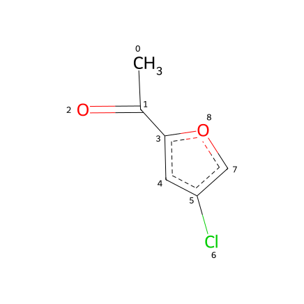 CC(=O)c1cc(Cl)co1